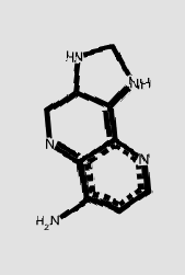 Nc1ccnc2c1=NCC1NCNC=21